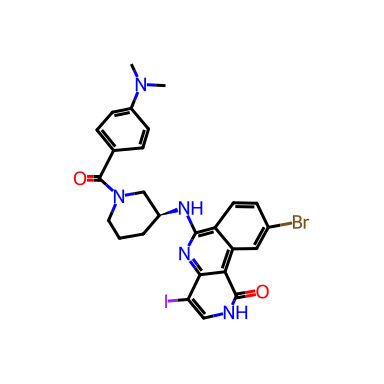 CN(C)c1ccc(C(=O)N2CCC[C@H](Nc3nc4c(I)c[nH]c(=O)c4c4cc(Br)ccc34)C2)cc1